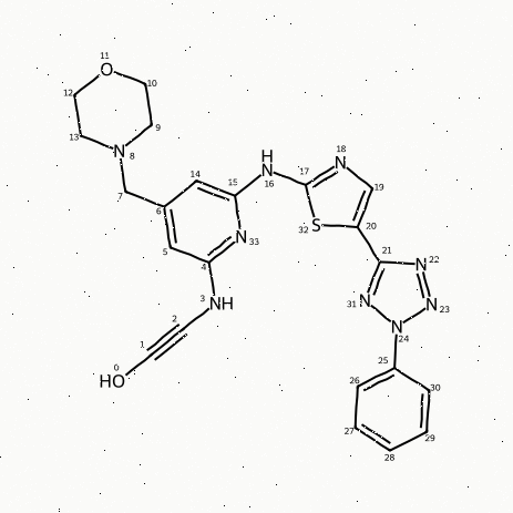 OC#CNc1cc(CN2CCOCC2)cc(Nc2ncc(-c3nnn(-c4ccccc4)n3)s2)n1